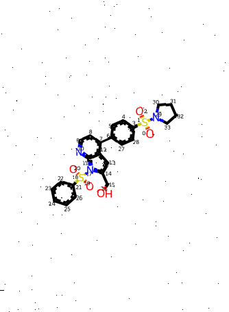 O=S(=O)(c1ccc(-c2ccnc3c2cc(CO)n3S(=O)(=O)c2ccccc2)cc1)N1CCCC1